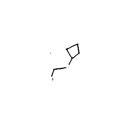 Cl.NCNC1CCC1